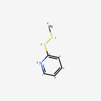 [CH2]C(C)SSc1ccccn1